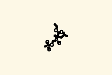 CCOC(=O)C(C)(CC(C)C)[PH](=O)COS(C)(=O)=O